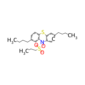 CCCCc1ccc2c(c1)Sc1ccc(CCCC)cc1N2OS(=O)(=O)CCC